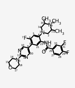 CC1CN(c2cc(F)c(-c3cnc(N4CCOCC4)nc3)cc2NC(=O)c2ccc(F)c(F)c2)CC(C)N1C